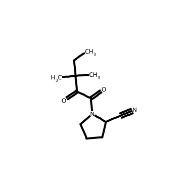 CCC(C)(C)C(=O)C(=O)N1CCCC1C#N